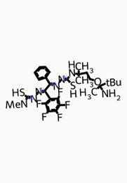 CN/C(S)=N/N=C(/C(=N/N=C(\S)NC(C)(C)CCOC(C)(N)C(C)(C)C)c1ccccc1)c1c(F)c(F)c(F)c(F)c1F